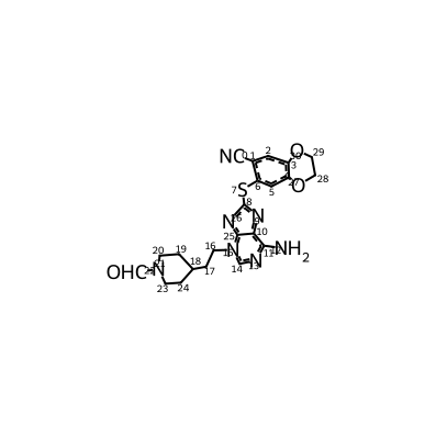 N#Cc1cc2c(cc1Sc1nc3c(N)ncn(CCC4CCN(C=O)CC4)c-3n1)OCCO2